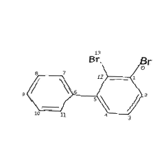 Brc1[c]ccc(-c2ccccc2)c1Br